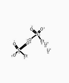 CCS(=O)(=O)[O-].CCS(=O)(=O)[O-].[Li+].[Li+]